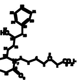 O=C(O)COCCCCN1C(=O)CCCC1CCC(O)Cc1ccccc1